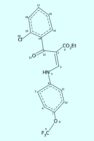 CCOC(=O)C(=CNc1ccc(OC(F)(F)F)cc1)C(=O)c1ccccc1Cl